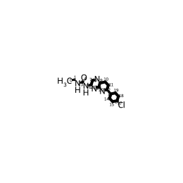 CCNC(=O)Nc1cnc2ccc(-c3ccc(Cl)cc3)nc2n1